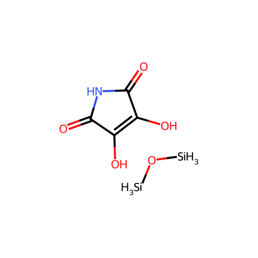 O=C1NC(=O)C(O)=C1O.[SiH3]O[SiH3]